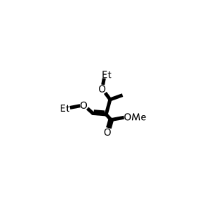 CCOC=C(C(=O)OC)C(C)OCC